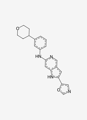 c1cc(Nc2cc3[nH]c(-c4cnco4)cc3cn2)cc(C2CCOCC2)c1